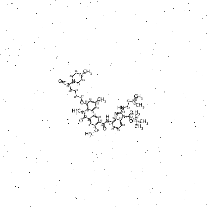 COc1cc(C(=O)N(C)c2ccc(C)cc2OCCCCC(=C=O)N2CCN(C)CC2)ccc1C(=O)Nc1cccc2c1nc(NCCN(C)C)n2C(=O)OC(C)(C)C